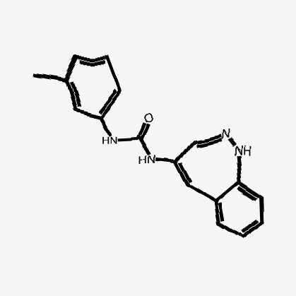 Cc1cccc(NC(=O)NC2=Cc3ccccc3NN=C2)c1